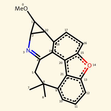 COC1C2N=C3CC(C)(C)c4cccc5oc6ccc(c3c6c45)C21